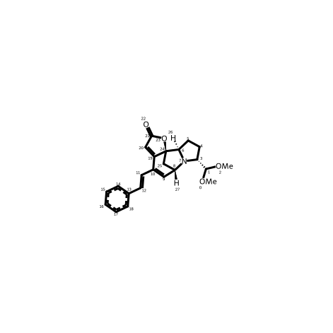 COC(OC)[C@H]1CC[C@H]2N1[C@@H]1C=C(C=Cc3ccccc3)C3=CC(=O)O[C@@]32C1